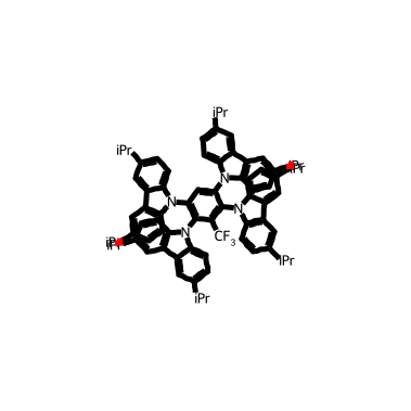 CC(C)c1ccc2c(c1)c1cc(C(C)C)ccc1n2-c1cc(-n2c3ccc(C(C)C)cc3c3cc(C(C)C)ccc32)c(-n2c3ccc(C(C)C)cc3c3cc(C(C)C)ccc32)c(C(F)(F)F)c1-n1c2ccc(C(C)C)cc2c2cc(C(C)C)ccc21